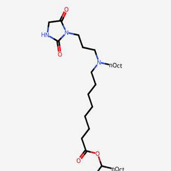 CCCCCCCCC(CCCCCCCC)OC(=O)CCCCCCCN(CCCCCCCC)CCCN1C(=O)CNC1=O